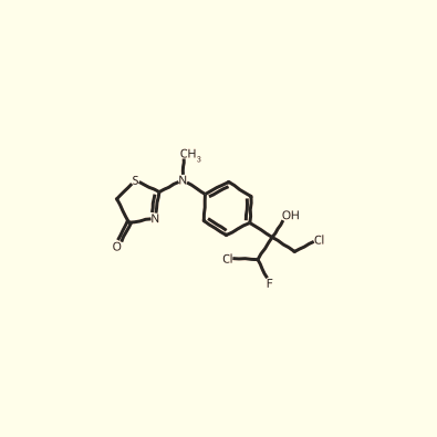 CN(C1=NC(=O)CS1)c1ccc(C(O)(CCl)C(F)Cl)cc1